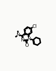 CN(C)c1nc(=O)n(C2=CCCCC2)c2cc(Cl)ccc12